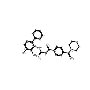 C=C(NC(=C)c1ccc(C(=C)N2CCCCC2)cc1)Nc1c(-c2ccccc2)ccc(CC)c1C